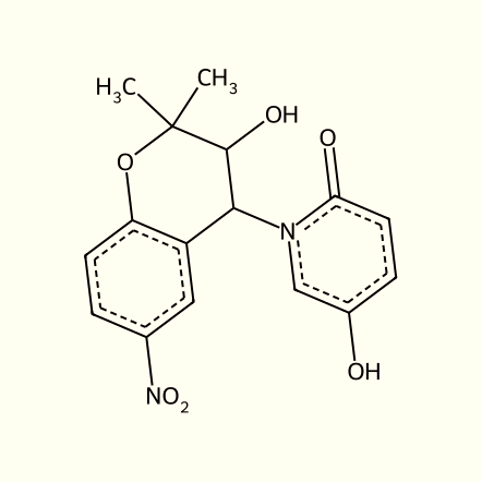 CC1(C)Oc2ccc([N+](=O)[O-])cc2C(n2cc(O)ccc2=O)C1O